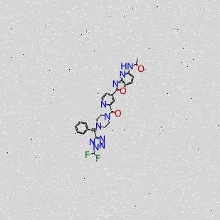 CC(=O)Nc1ccc2oc(-c3ccnc(C(=O)N4CCN([C@H](c5ccccc5)c5nnn(C(F)F)n5)CC4)c3)nc2n1